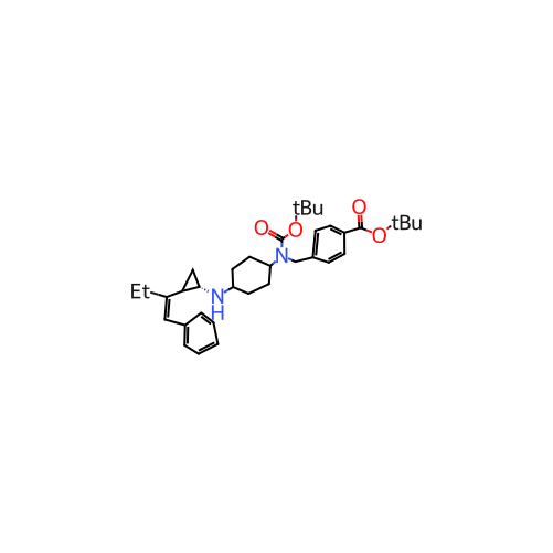 CCC(=Cc1ccccc1)C1C[C@@H]1NC1CCC(N(Cc2ccc(C(=O)OC(C)(C)C)cc2)C(=O)OC(C)(C)C)CC1